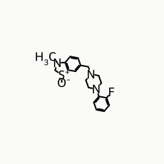 CN1C[S+]([O-])c2cc(CN3CCN(c4ccccc4F)CC3)ccc21